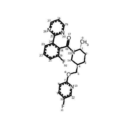 C[C@@H]1CC[C@@H](COc2ccc(F)cn2)CN1C(=O)c1c(F)cccc1-c1ncccn1